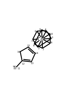 [CH]12[CH]3[CH]4[CH]5[CH]1[Co]23451678[CH]2[CH]1[CH]6[CH]7[CH]28.[Ti][C]1=CC=CC1